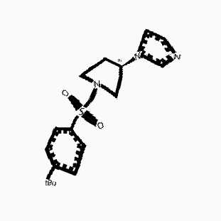 CC(C)(C)c1ccc(S(=O)(=O)N2CC[C@@H](n3ccnc3)C2)cc1